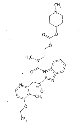 Cc1c(OCC(F)(F)F)ccnc1C[S@@+]([O-])c1nc2ccccc2n1C(=O)N(C)CCOC(=O)OC1CCN(C)CC1